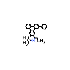 C=C/N=C(/C=C)c1cc2c3cc(-c4ccccc4)ccc3c3ccccc3c2cc1C